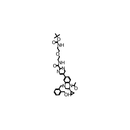 CC(=O)N1c2ccc(-c3cnc(C(=O)NCCOCCNC(=O)OC(C)(C)C)nc3)cc2N(Cc2ccccc2CO)C[C@@H]1C1CC1